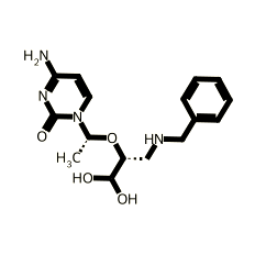 C[C@@H](O[C@H](CNCc1ccccc1)C(O)O)n1ccc(N)nc1=O